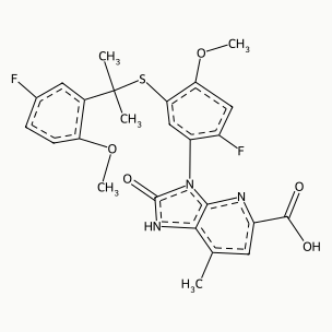 COc1cc(F)c(-n2c(=O)[nH]c3c(C)cc(C(=O)O)nc32)cc1SC(C)(C)c1cc(F)ccc1OC